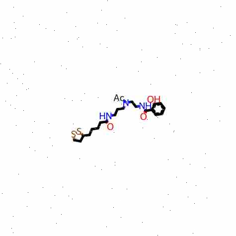 CC(=O)N(CCCNC(=O)CCCCC1CCSS1)CCNC(=O)c1ccccc1O